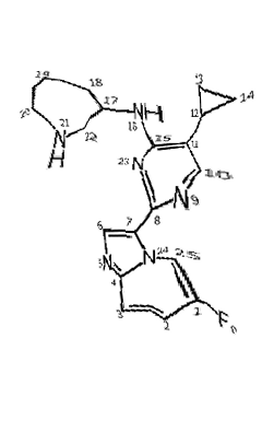 Fc1ccc2ncc(-c3ncc(C4CC4)c(NC4CCCNC4)n3)n2c1